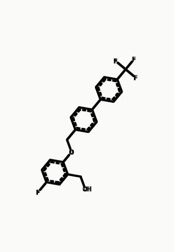 OCc1cc(F)ccc1OCc1ccc(-c2ccc(C(F)(F)F)cc2)cc1